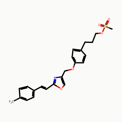 CS(=O)(=O)OCCCc1ccc(OCc2coc(C=Cc3ccc(C(F)(F)F)cc3)n2)cc1